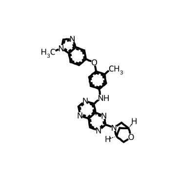 Cc1cc(Nc2ncnc3cnc(N4C[C@@H]5C[C@H]4CO5)nc23)ccc1Oc1ccc2c(c1)ncn2C